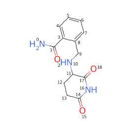 NC(=O)c1ccccc1CNC1CCC(=O)NC1=O